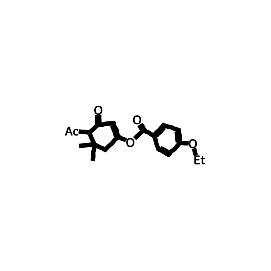 CCOc1ccc(C(=O)OC2=CC(=O)C(C(C)=O)C(C)(C)C2)cc1